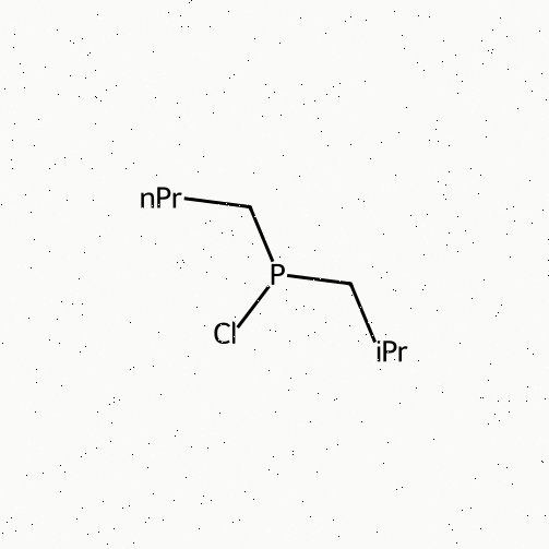 CCCCP(Cl)CC(C)C